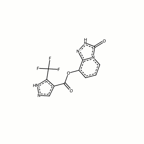 O=C(Oc1cccn2c(=O)[nH]nc12)c1cn[nH]c1C(F)(F)F